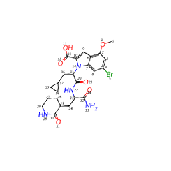 COc1cc(Br)cc2c1cc(C(=O)O)n2C(CC1CC1)C(=O)NC(C[C@@H]1CCCNC1=O)C(N)=O